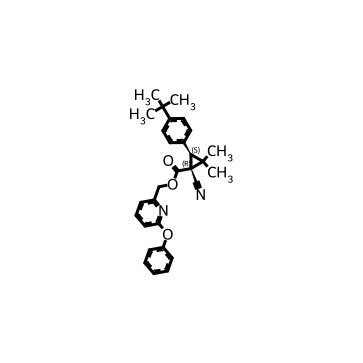 CC(C)(C)c1ccc([C@H]2C(C)(C)[C@]2(C#N)C(=O)OCc2cccc(Oc3ccccc3)n2)cc1